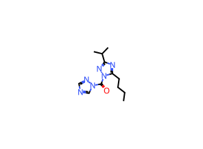 CCCCc1nc(C(C)C)nn1C(=O)n1cncn1